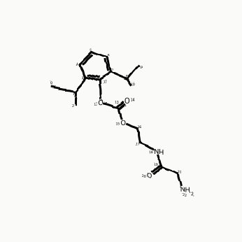 CC(C)c1cccc(C(C)C)c1OC(=O)OCCNC(=O)CN